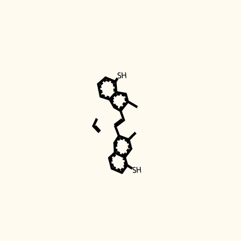 C=CC.Cc1cc2c(S)cccc2cc1C=Cc1cc2cccc(S)c2cc1C